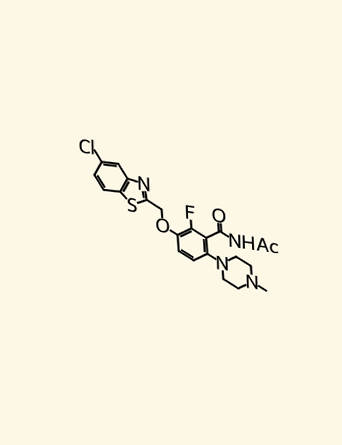 CC(=O)NC(=O)c1c(N2CCN(C)CC2)ccc(OCc2nc3cc(Cl)ccc3s2)c1F